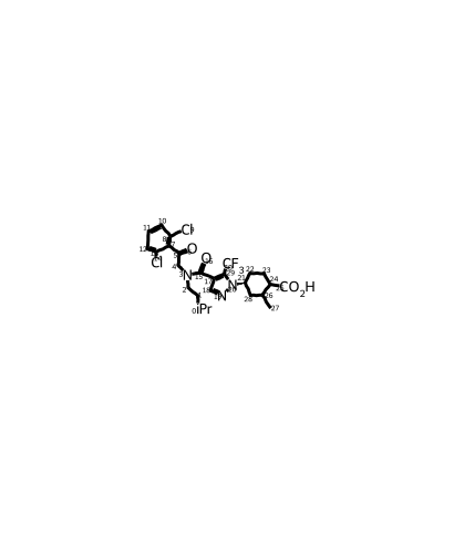 CC(C)CCN(CC(=O)c1c(Cl)cccc1Cl)C(=O)c1cnn([C@H]2CCC(C(=O)O)C(C)C2)c1C(F)(F)F